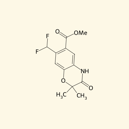 COC(=O)c1cc2c(cc1C(F)F)OC(C)(C)C(=O)N2